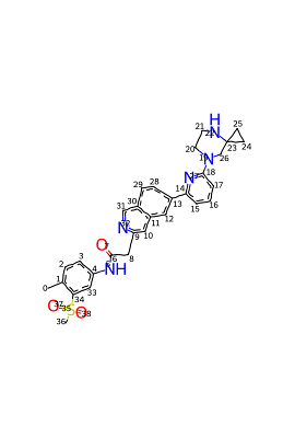 Cc1ccc(NC(=O)Cc2cc3cc(-c4cccc(N5CCNC6(CC6)C5)n4)ccc3cn2)cc1S(C)(=O)=O